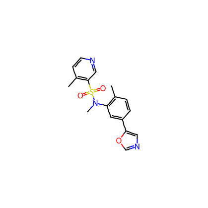 Cc1ccc(-c2cnco2)cc1N(C)S(=O)(=O)c1cnccc1C